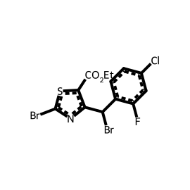 CCOC(=O)c1sc(Br)nc1C(Br)c1ccc(Cl)cc1F